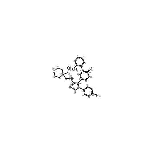 Cc1ccccc1-n1nc(-c2c(-c3ccc(F)cc3)n[nH]c2NCC2(CO)CCOCC2)ccc1=O